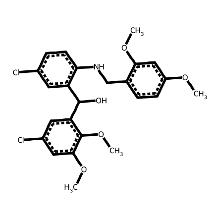 COc1ccc(CNc2ccc(Cl)cc2C(O)c2cc(Cl)cc(OC)c2OC)c(OC)c1